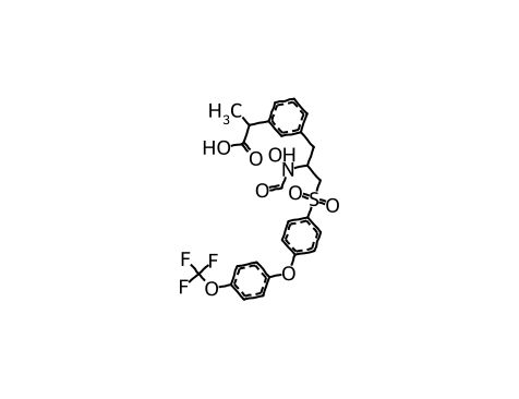 CC(C(=O)O)c1cccc(CC(CS(=O)(=O)c2ccc(Oc3ccc(OC(F)(F)F)cc3)cc2)N(O)C=O)c1